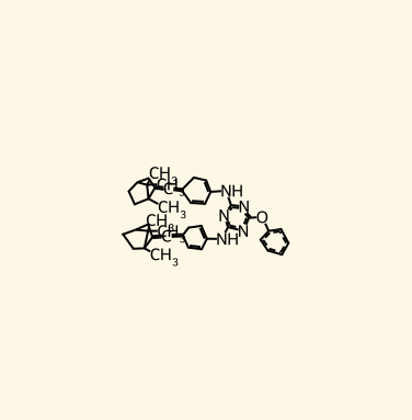 CC12CCC(CC1=C=C1C=CC(Nc3nc(NC4=CCC(=C=C5CC6CCC5(C)C6(C)C)C=C4)nc(Oc4ccccc4)n3)=CC1)C2(C)C